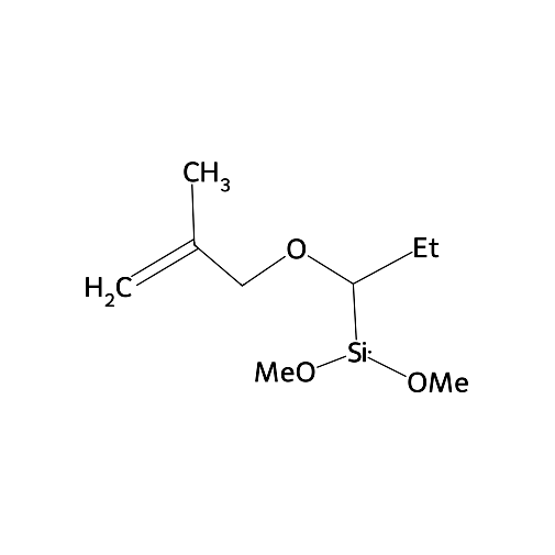 C=C(C)COC(CC)[Si](OC)OC